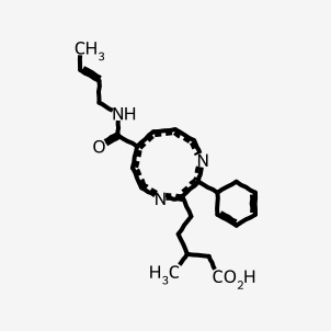 C/C=C/CNC(=O)c1cccnc(C2C=CC=CC2)c(CCC(C)CC(=O)O)ncc1